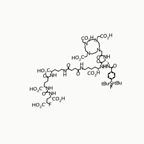 CC(C)(C)[Si](F)(c1ccc(C(=O)NC[C@@H](NC(=O)CN2CCN(CC(=O)O)CCN(CC(=O)O)CCN(CC(=O)O)CC2)C(=O)N[C@H](CCCCNC(=O)CCC(=O)NCCC[C@@H](NC(=O)CC[C@H](NC(=O)N[C@@H](C[C@H](F)C(=O)O)C(=O)O)C(=O)O)C(=O)O)C(=O)O)cc1)C(C)(C)C